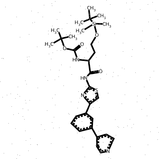 CC(C)(C)OC(=O)NC(CCO[Si](C)(C)C(C)(C)C)C(=O)Nc1nc(-c2cccc(-c3ccncc3)c2)cs1